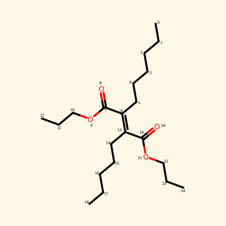 CCCCCCC(C(=O)OCCC)=C(CCCCC)C(=O)OCCC